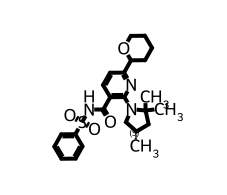 C[C@@H]1CN(c2nc(C3CCCCO3)ccc2C(=O)NS(=O)(=O)c2ccccc2)C(C)(C)C1